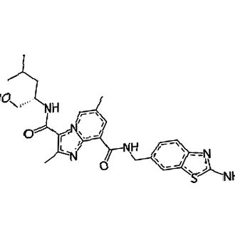 Cc1cc(C(=O)NCc2ccc3nc(N)sc3c2)c2nc(C)c(C(=O)N[C@H](CO)CC(C)C)n2c1